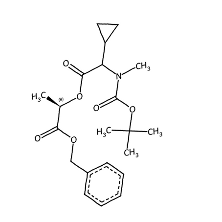 C[C@@H](OC(=O)C(C1CC1)N(C)C(=O)OC(C)(C)C)C(=O)OCc1ccccc1